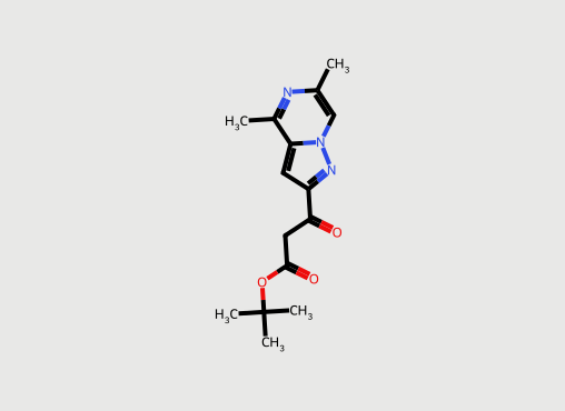 Cc1cn2nc(C(=O)CC(=O)OC(C)(C)C)cc2c(C)n1